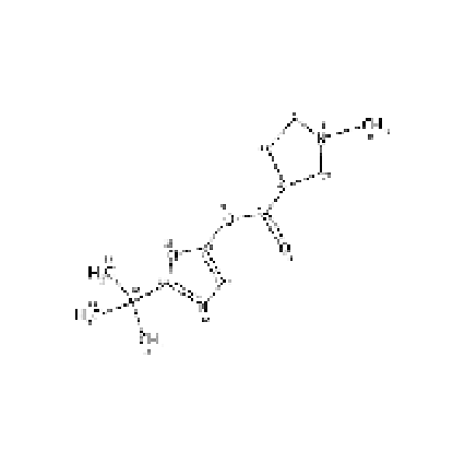 CN1CCC(C(=O)Oc2cnc(C(C)(C)C)o2)C1